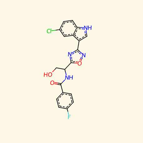 O=C(NC(CO)c1nc(-c2c[nH]c3ccc(Cl)cc23)no1)c1ccc(F)cc1